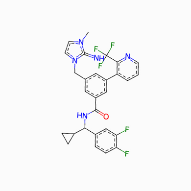 Cn1ccn(Cc2cc(C(=O)NC(c3ccc(F)c(F)c3)C3CC3)cc(-c3cccnc3C(F)(F)F)c2)c1=N